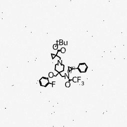 CC(C)(C)OC(=O)C1(CN2CCC(COc3ccccc3F)(CN(C(=O)C(F)(F)F)[C@@H]3C[C@H]3c3ccccc3)CC2)CC1